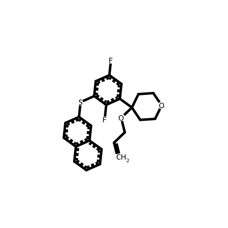 C=CCOC1(c2cc(F)cc(Sc3ccc4ccccc4c3)c2F)CCOCC1